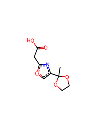 CC1(c2coc(CC(=O)O)n2)OCCO1